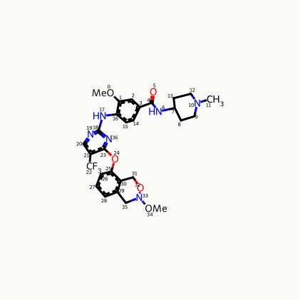 COc1cc(C(=O)NC2CCN(C)CC2)ccc1Nc1ncc(C(F)(F)F)c(Oc2cccc3c2CON(OC)C3)n1